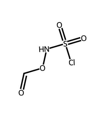 O=CONS(=O)(=O)Cl